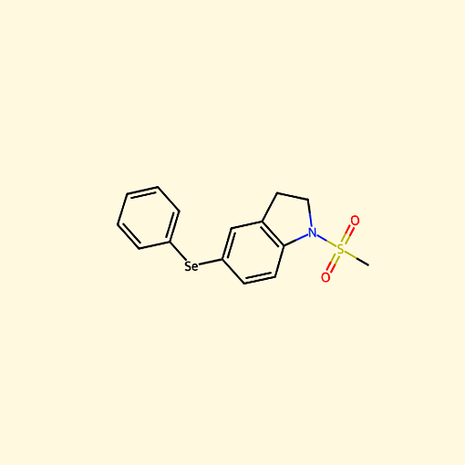 CS(=O)(=O)N1CCc2cc([Se]c3ccccc3)ccc21